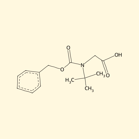 CC(C)(C)N(CC(=O)O)C(=O)OCc1ccccc1